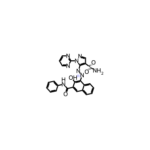 NS(=O)(=O)c1cnn(-c2ncccn2)c1/N=N/c1c(O)c(C(=O)Nc2ccccc2)cc2ccccc12